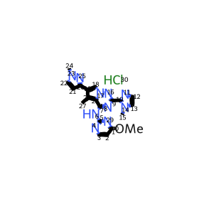 COc1ccnc(Nc2nc(-c3nccn3C)nn3cc(-c4ccn(C)n4)c(C)c23)n1.Cl